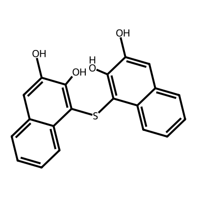 Oc1cc2ccccc2c(Sc2c(O)c(O)cc3ccccc23)c1O